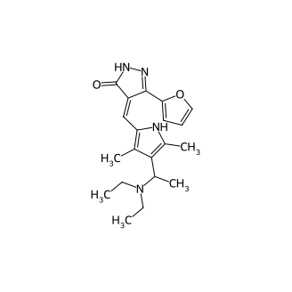 CCN(CC)C(C)c1c(C)[nH]c(/C=C2/C(=O)NN=C2c2ccco2)c1C